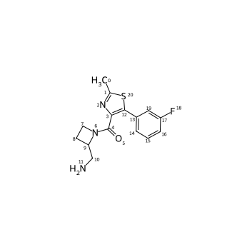 Cc1nc(C(=O)N2CCC2CN)c(-c2cccc(F)c2)s1